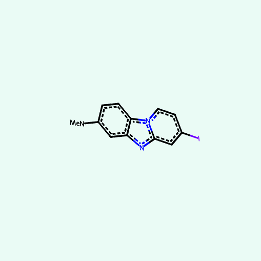 CNc1ccc2c(c1)nc1cc(I)ccn12